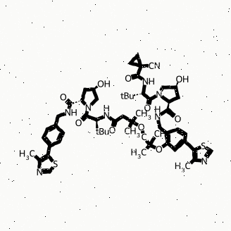 Cc1ncsc1-c1ccc(CNC(=O)[C@@H]2C[C@@H](O)CN2C(=O)[C@@H](NC(=O)CC(C)(C)OCC(C)(C)Oc2cc(-c3scnc3C)ccc2CNC(=O)[C@@H]2C[C@@H](O)CN2C(=O)[C@@H](NC(=O)C2(C#N)CC2)C(C)(C)C)C(C)(C)C)cc1